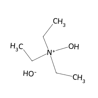 CC[N+](O)(CC)CC.[OH-]